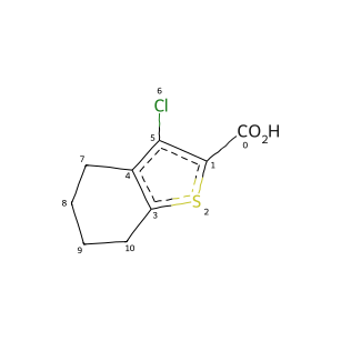 O=C(O)c1sc2c(c1Cl)CCCC2